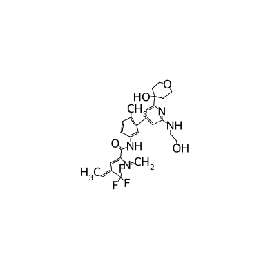 C=N/C(=C\C(=C/C)C(F)(F)F)C(=O)Nc1ccc(C)c(-c2cc(NCCO)nc(C3(O)CCOCC3)c2)c1